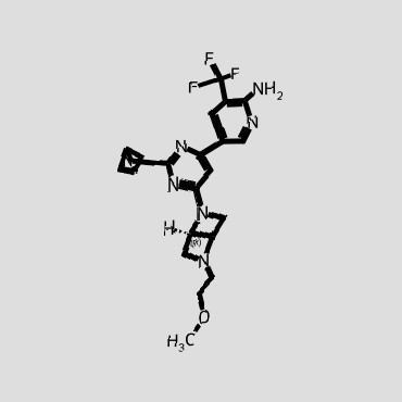 COCCN1C[C@@H]2C1CN2c1cc(-c2cnc(N)c(C(F)(F)F)c2)nc(N2CC3CC2C3)n1